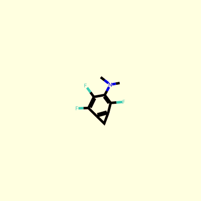 CN(C)c1c(F)c(F)c2c(c1F)C2